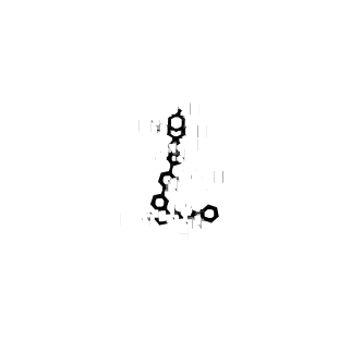 CCC1(C)CC2(C)CC(C)(Cn3ncc(-c4ccc(-c5ccc6c(c5)N(C(=O)Nc5nc7ccccc7s5)CCN6C)nc4C(=O)O)c3C)CC(ON)(C1)C2